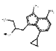 Cn1cc(CC(CN)C(=O)O)c2c(C3CC3)ccc([N+](=O)[O-])c21